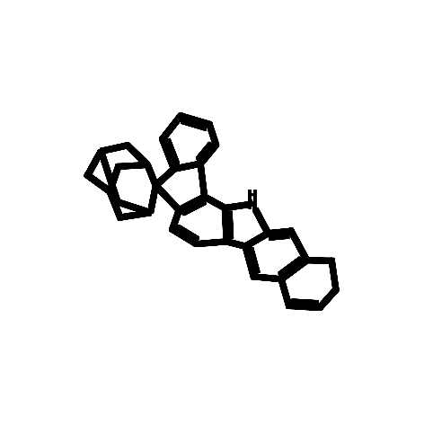 C1=Cc2cc3c(cc2CC1)[nH]c1c2c(ccc13)C1(c3ccccc3-2)C2CC3CC(C2)CC1C3